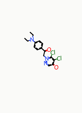 CCN(CC)c1ccc(C(=O)Cn2ncc(=O)c(Cl)c2Cl)cc1